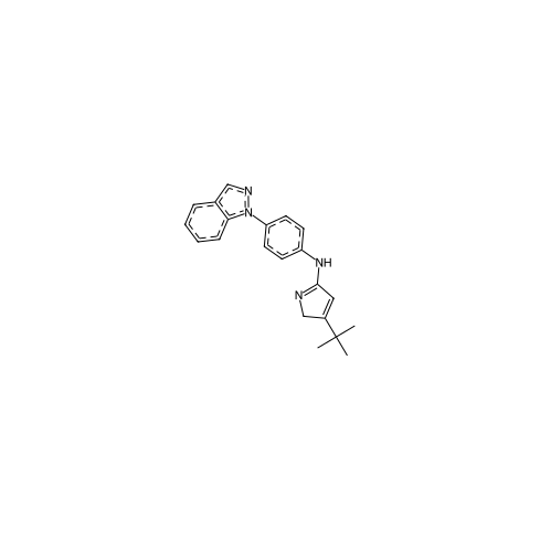 CC(C)(C)C1=CC(Nc2ccc(-n3ncc4ccccc43)cc2)=NC1